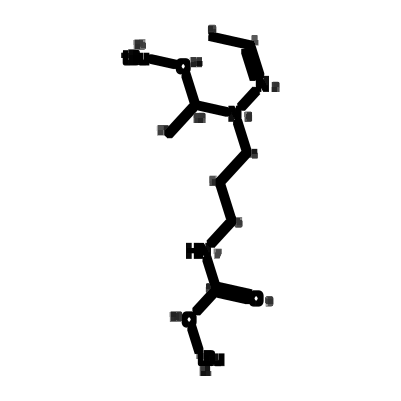 C/C=N\N(CCCNC(=O)OC(C)(C)C)C(C)OC(C)(C)C